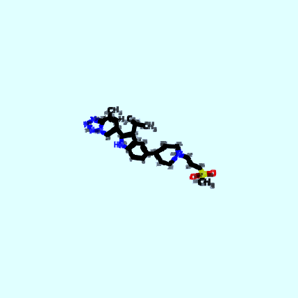 Cc1cc(-c2[nH]c3ccc(C4CCN(CCCS(C)(=O)=O)CC4)cc3c2C(C)C)cn2nnnc12